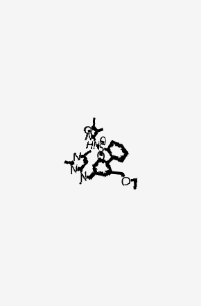 CCOCc1cc(CN(C)c2cc(C)nc(C)n2)ccc1-c1ccccc1S(=O)(=O)Nc1noc(C)c1C